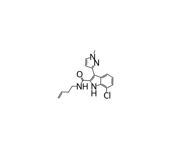 C=CCCNC(=O)c1[nH]c2c(Cl)cccc2c1-c1ccn(C)n1